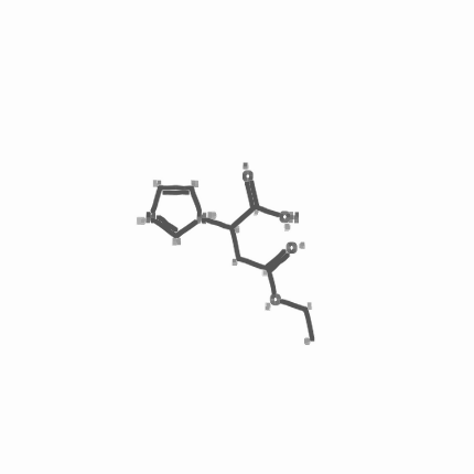 CCOC(=O)CC(C(=O)O)n1ccnc1